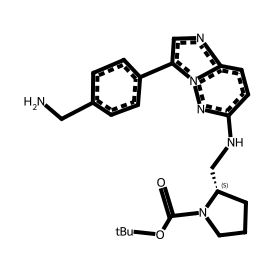 CC(C)(C)OC(=O)N1CCC[C@H]1CNc1ccc2ncc(-c3ccc(CN)cc3)n2n1